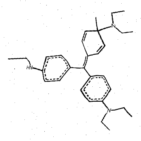 CCNc1ccc(C(=C2C=CC(C)(N(CC)CC)C=C2)c2ccc(N(CC)CC)cc2)cc1